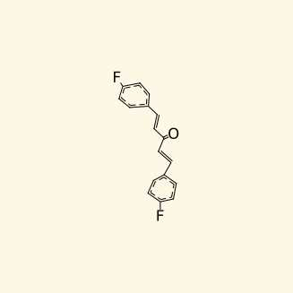 O=C(C=Cc1ccc(F)cc1)C=Cc1ccc(F)cc1